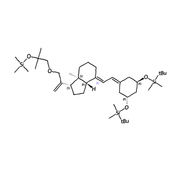 C=C(COCC(C)(C)O[Si](C)(C)C)[C@H]1CC[C@H]2/C(=C/C=C3C[C@@H](O[Si](C)(C)C(C)(C)C)C[C@H](O[Si](C)(C)C(C)(C)C)C3)CCC[C@]12C